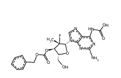 C[C@]1(F)[C@H](OC(=O)OCc2ccccc2)[C@@H](CO)O[C@H]1n1cnc2c(NC(=O)O)nc(N)nc21